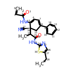 C=CC(=O)NC1=CC=C(c2ccccc2)C[C@]1(C#N)C(C)C(=O)Nc1ncc(CC)s1